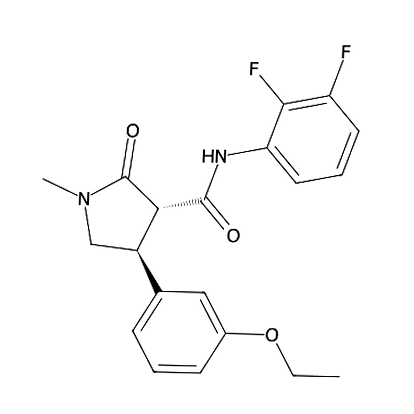 CCOc1cccc([C@H]2CN(C)C(=O)[C@@H]2C(=O)Nc2cccc(F)c2F)c1